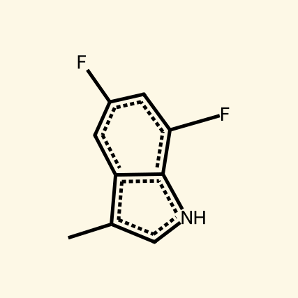 Cc1c[nH]c2c(F)cc(F)cc12